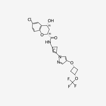 O=C(NC12CC(n3cc(O[C@H]4C[C@@H](OC(F)(F)F)C4)cn3)(C1)C2)[C@H]1C[C@@H](O)c2cc(Cl)ccc2O1